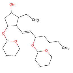 COCCCC(C=CC1C(OC2CCCCO2)CC(O)C1CC=O)OC1CCCCO1